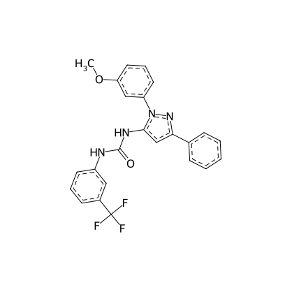 COc1cccc(-n2nc(-c3ccccc3)cc2NC(=O)Nc2cccc(C(F)(F)F)c2)c1